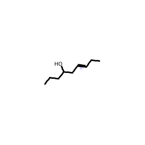 CC/C=C/CC(O)CCC